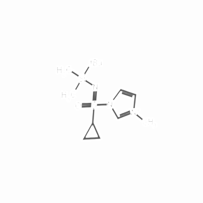 C[n+]1ccn(S(=O)(=N[Si](C)(C)C(C)(C)C)C2CC2)c1